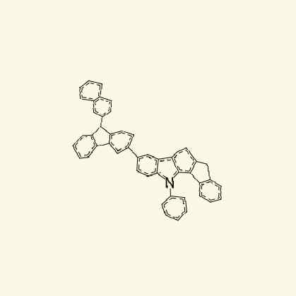 c1ccc(-n2c3ccc(-c4ccc5c(c4)-c4ccccc4C5c4ccc5ccccc5c4)cc3c3ccc4c(c32)-c2ccccc2C4)cc1